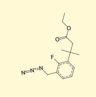 CCOC(=O)CC(C)(C)c1cccc(CN=[N+]=[N-])c1F